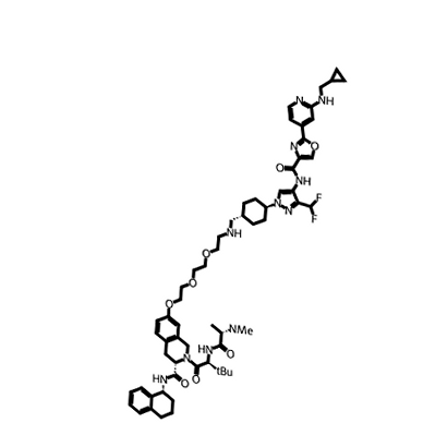 CN[C@@H](C)C(=O)N[C@H](C(=O)N1Cc2cc(OCCOCCOCCNC[C@H]3CC[C@H](n4cc(NC(=O)c5coc(-c6ccnc(NCC7CC7)c6)n5)c(C(F)F)n4)CC3)ccc2C[C@H]1C(=O)N[C@@H]1CCCc2ccccc21)C(C)(C)C